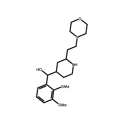 COc1cccc(C(O)C2CCNC(CCN3CCOCC3)C2)c1OC